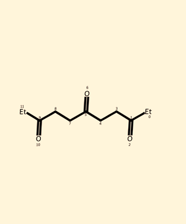 CCC(=O)CCC(=O)CCC(=O)CC